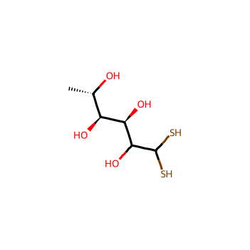 C[C@H](O)[C@H](O)[C@@H](O)C(O)C(S)S